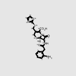 Nc1ccccc1CC(=O)NC1C(=O)N2C(C(=O)O)=C(CSc3nccs3)CS[C@H]12